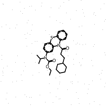 CCOC(=O)N(c1ccc2c(c1)N(C(=O)CCC1CCCCC1)c1ccccc1S2)C(C)C